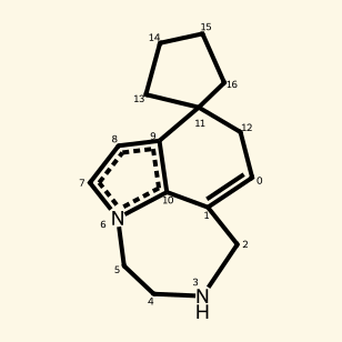 C1=C2CNCCn3ccc(c32)C2(C1)CCCC2